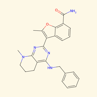 Cc1oc2c(C(N)=O)cccc2c1-c1nc(NCc2ccccc2)c2c(n1)N(C)CCC2